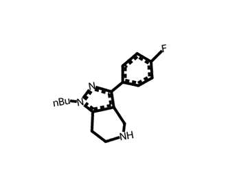 CCCCn1nc(-c2ccc(F)cc2)c2c1CCNC2